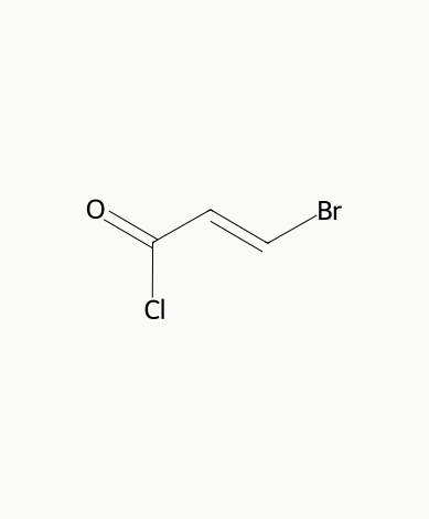 O=C(Cl)/C=C/Br